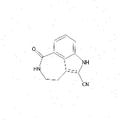 N#Cc1[nH]c2cccc3c2c1CCNC3=O